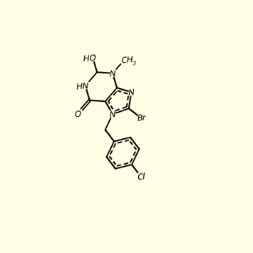 CN1c2nc(Br)n(Cc3ccc(Cl)cc3)c2C(=O)NC1O